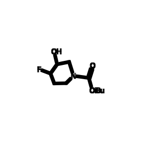 CC(C)COC(=O)N1CCC(F)C(O)C1